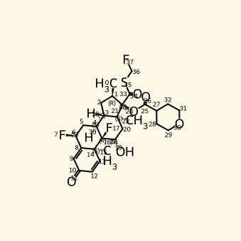 C[C@@H]1C[C@H]2[C@@H]3C[C@H](F)C4=CC(=O)C=C[C@]4(C)[C@@]3(F)[C@@H](O)C[C@]2(C)[C@@]1(OC(=O)C1CCOCC1)C(=O)SCF